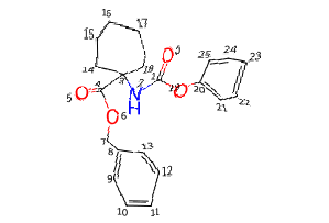 O=C(NC1(C(=O)OCc2ccccc2)CCCCC1)Oc1ccccc1